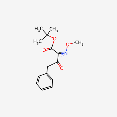 CO/N=C(/C(=O)Cc1ccccc1)C(=O)OC(C)(C)C